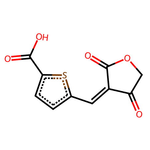 O=C1COC(=O)C1=Cc1ccc(C(=O)O)s1